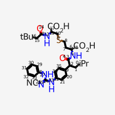 CC(C)CC(C(=O)NC(CCSCC(NC(=O)CC(C)(C)C)C(=O)O)C(=O)O)c1ccc(NC(=NC#N)Nc2ccccc2)cc1